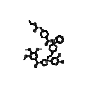 CCOC(=O)CN1CCN(C(=O)NC2(c3ccccc3)CCN(CC[C@@]3(c4ccc(Cl)c(Cl)c4)CCN(C(=O)c4cc(OC)c(OC)c(OC)c4)C3)CC2)CC1